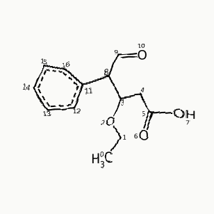 CCOC(CC(=O)O)C(C=O)c1ccccc1